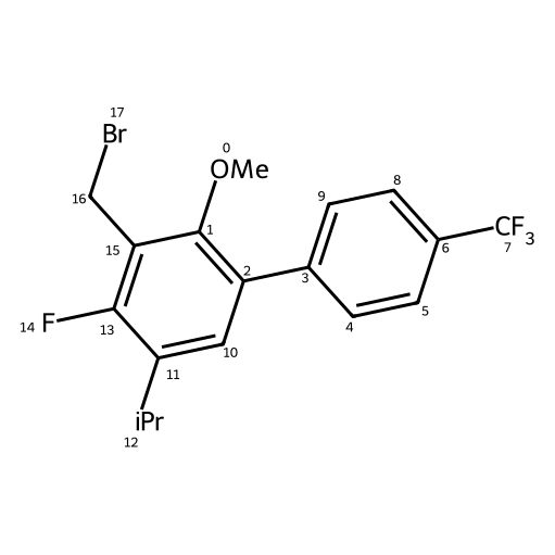 COc1c(-c2ccc(C(F)(F)F)cc2)cc(C(C)C)c(F)c1CBr